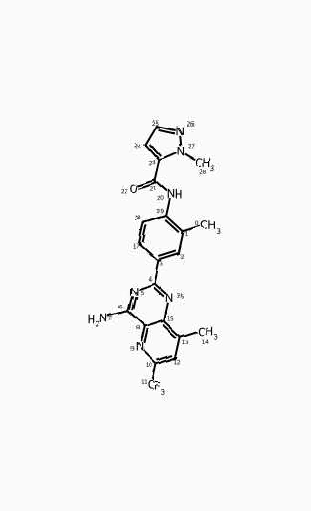 Cc1cc(-c2nc(N)c3nc(C(F)(F)F)cc(C)c3n2)ccc1NC(=O)c1ccnn1C